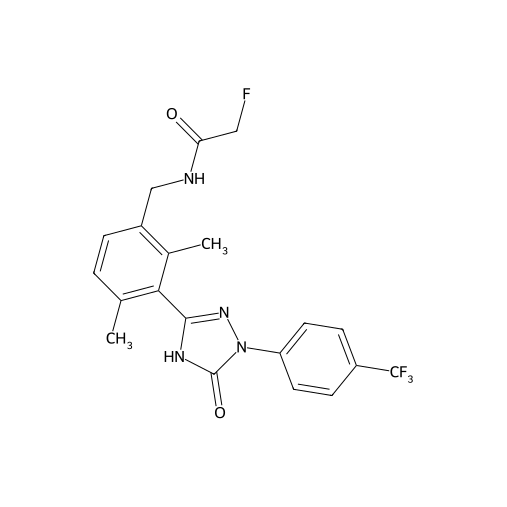 Cc1ccc(CNC(=O)CF)c(C)c1-c1nn(-c2ccc(C(F)(F)F)cc2)c(=O)[nH]1